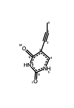 CC#Cc1[c][nH]c(=O)[nH]c1=O